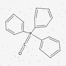 O=C=P(c1ccccc1)(c1ccccc1)c1ccccc1